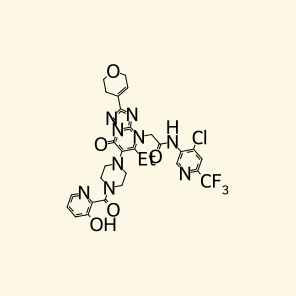 CCc1c(N2CCN(C(=O)c3ncccc3O)CC2)c(=O)n2nc(C3=CCOCC3)nc2n1CC(=O)Nc1cnc(C(F)(F)F)cc1Cl